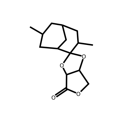 CC1CC2CC(C)C3(OC4COC(=O)C4O3)C(C1)C2